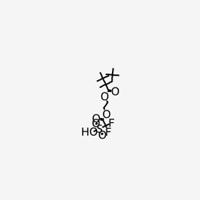 CC(C)(C)CC(C)(C(=O)OCCOC(=O)C(F)(F)S(=O)(=O)O)C(C)(C)C